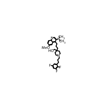 COc1ccc2ncc(N(C)C)c(CCCC3(CO)CCN(CCCc4cc(F)cc(F)c4F)CC3)c2c1